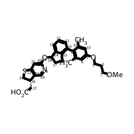 COCCCOc1cc(C)c(-c2cccc3c2CCC3Oc2cc3c(cn2)[C@H](CC(=O)O)CS3)c(C)c1